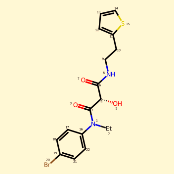 CCN(C(=O)[C@@H](O)C(=O)NCCc1cccs1)c1ccc(Br)cc1